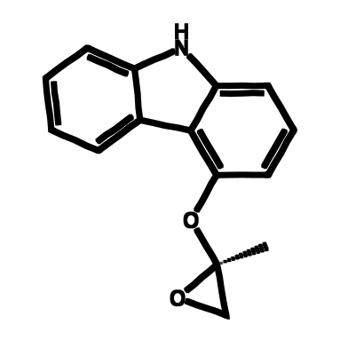 C[C@]1(Oc2cccc3[nH]c4ccccc4c23)CO1